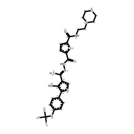 C/C(=N\NC(=O)c1ccc(C(=O)NCCN2CCOCC2)s1)c1csc(-c2ccc(OC(F)(F)F)cc2)c1O